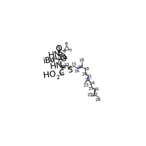 CC[C@H](C)C(NS(=O)(=O)C1CC1)C(=O)N[C@@H](CSC/C=C(\C)CC/C=C(\C)CCC=C(C)C)C(=O)O